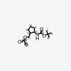 CC(C)(C)OC(=O)NC1CCCC1CO[N+](=O)[O-]